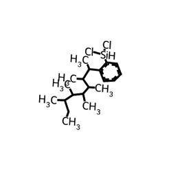 CCC(C)C(C)C(C)C(C)C(C)C(C)c1ccccc1[SiH](Cl)Cl